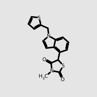 CN1C(=O)SC(c2cccc3c2ccn3Cc2cccs2)C1=O